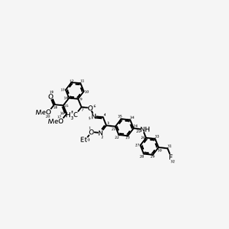 CCON=C(C=NOC(C)c1ccccc1C(=COC)C(=O)OC)c1ccc(Nc2cccc(CF)c2)cc1